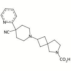 N#CC1(c2ccccn2)CCN(C2CC3(CCN(C(=O)O)C3)C2)CC1